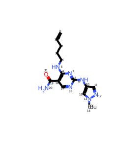 C=CCCCNc1nc(Nc2cnn(C(C)(C)C)c2)ncc1C(N)=O